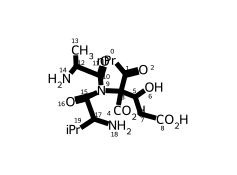 CCCC(=O)C(C(=O)O)(C(O)CC(=O)O)N(C(=O)C(C)N)C(=O)C(N)C(C)C